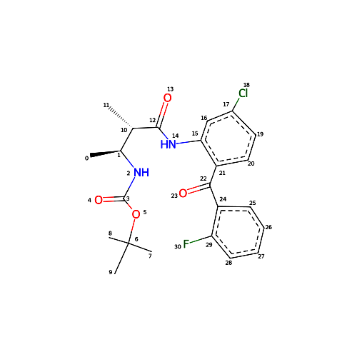 C[C@H](NC(=O)OC(C)(C)C)[C@H](C)C(=O)Nc1cc(Cl)ccc1C(=O)c1ccccc1F